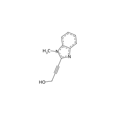 Cn1c(C#CCO)nc2ccccc21